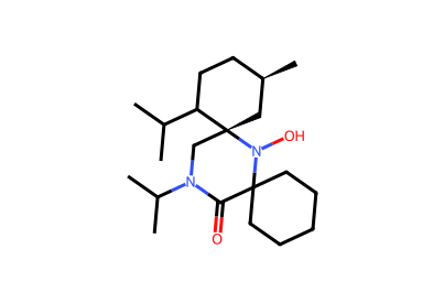 CC(C)C1CC[C@@H](C)C[C@@]12CN(C(C)C)C(=O)C1(CCCCC1)N2O